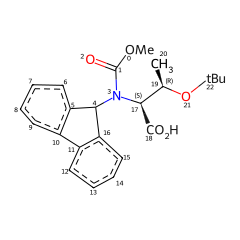 COC(=O)N(C1c2ccccc2-c2ccccc21)[C@H](C(=O)O)[C@@H](C)OC(C)(C)C